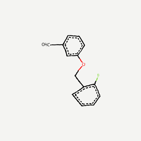 O=Cc1cccc(OCc2ccccc2F)c1